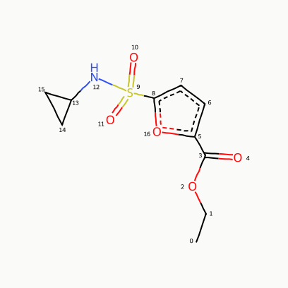 CCOC(=O)c1ccc(S(=O)(=O)NC2CC2)o1